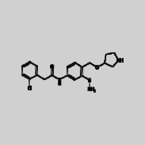 NSc1cc(NC(=O)Cc2ccccc2Cl)ccc1COC1CCNC1